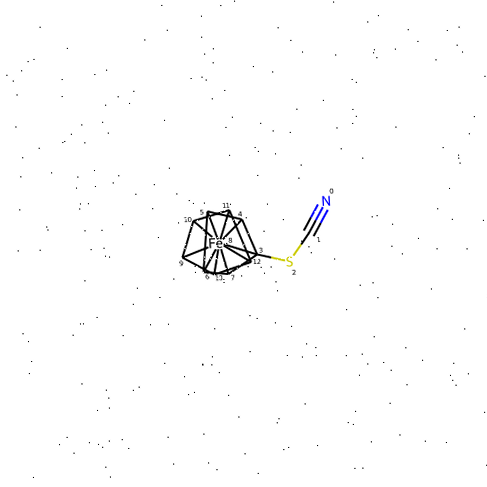 N#CS[C]12[CH]3[CH]4[CH]5[CH]1[Fe]45321678[CH]2[CH]1[CH]6[CH]7[CH]28